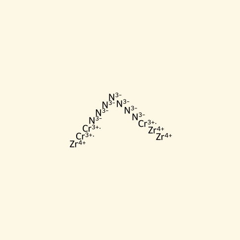 [Cr+3].[Cr+3].[Cr+3].[N-3].[N-3].[N-3].[N-3].[N-3].[N-3].[N-3].[Zr+4].[Zr+4].[Zr+4]